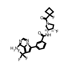 Nc1ncnn2c(-c3cccc(C(=O)N[C@@H]4CN(C(=O)C5(F)CCC5)C[C@@H]4F)c3)cc(C(F)(F)F)c12